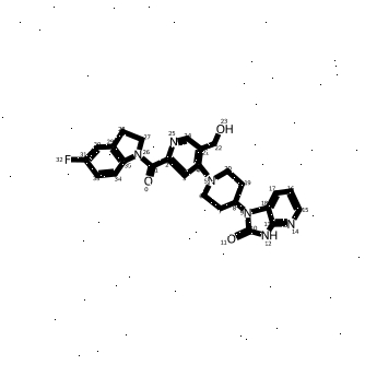 O=C(c1cc(N2CCC(n3c(=O)[nH]c4ncccc43)CC2)c(CO)cn1)N1CCc2cc(F)ccc21